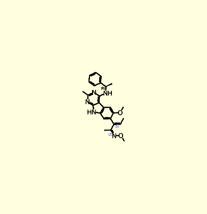 C/C=C(/C(C)=N\OC)c1cc2[nH]c3nc(C)nc(N[C@H](C)c4ccccc4)c3c2cc1OC